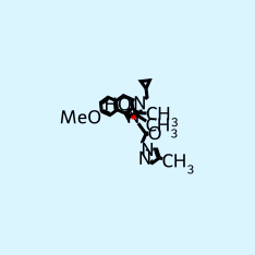 COc1ccc2c(c1)C13CCN(CC4CC4)C(C2)C1(O)CC(C)(C)N(C(=O)Cn1cc(C)cn1)CC3